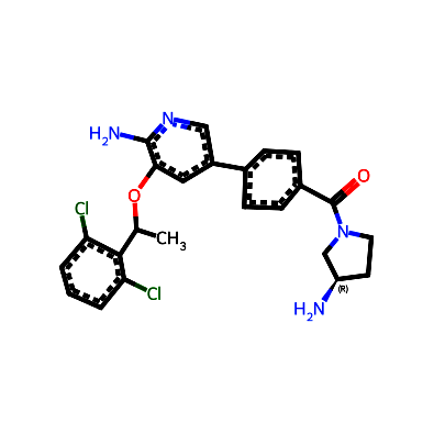 CC(Oc1cc(-c2ccc(C(=O)N3CC[C@@H](N)C3)cc2)cnc1N)c1c(Cl)cccc1Cl